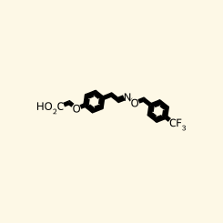 O=C(O)COc1ccc(CC=NOCc2ccc(C(F)(F)F)cc2)cc1